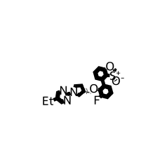 CCc1cnc(N2CC[C@H](COc3c(F)cccc3-c3cccc4c3[S+]([O-])CO4)C2)nc1